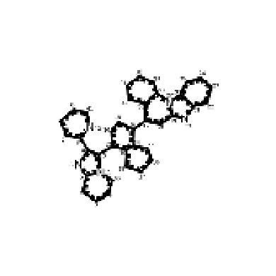 c1ccc(-c2nc3ccccn3c2-c2ccc(-c3cc4nc5ccccc5n4c4ccccc34)c3ccccc23)nc1